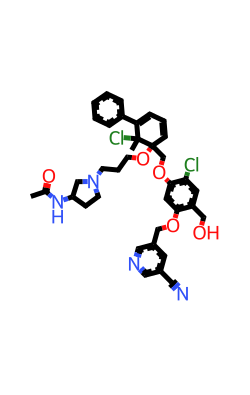 CC(=O)NC1CCN(CCCOC2(COc3cc(OCc4cncc(C#N)c4)c(CO)cc3Cl)C=CC=C(c3ccccc3)C2(C)Cl)C1